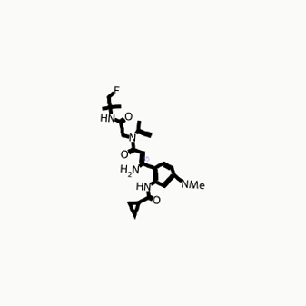 C=C(C)N(CC(=O)NC(C)(C)CF)C(=O)/C=C(\N)c1ccc(NC)cc1NC(=O)C1CC1